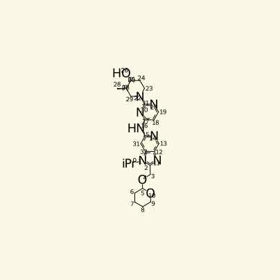 CC(C)n1c(COC2CCCCO2)nc2cnc(Nc3ccnc(N4CC[C@@H](O)[C@H](C)C4)n3)cc21